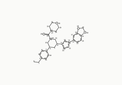 CCc1ccc(C2CC(c3cn(-c4ccc5c(c4)OCO5)cn3)CN(C(=O)N3CCOCC3)C2)cc1